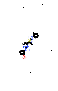 Cc1ccccc1Nc1nc(C)c(-c2ccnc(Nc3cccc(O)c3)n2)s1